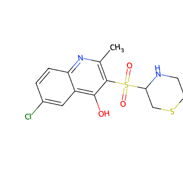 Cc1nc2ccc(Cl)cc2c(O)c1S(=O)(=O)C1CSCCN1